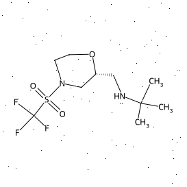 CC(C)(C)NC[C@@H]1CN(S(=O)(=O)C(F)(F)F)CCO1